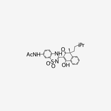 CC(=O)Nc1ccc2c(c1)S(=O)(=O)N=C(C1=C(O)c3ccccc3[C@@](C)(CCC(C)C)C1=O)N2